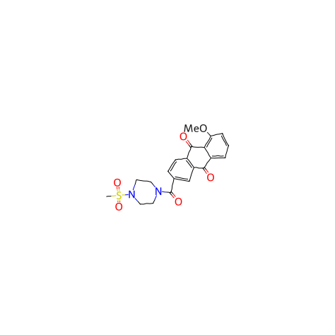 COc1cccc2c1C(=O)c1ccc(C(=O)N3CCN(S(C)(=O)=O)CC3)cc1C2=O